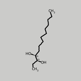 CCCCCCCCCC[C@H](O)[C@@H](O)CC